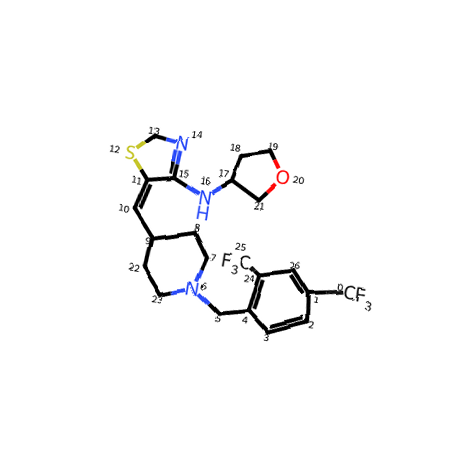 FC(F)(F)c1ccc(CN2CCC(C=C3SCN=C3NC3CCOC3)CC2)c(C(F)(F)F)c1